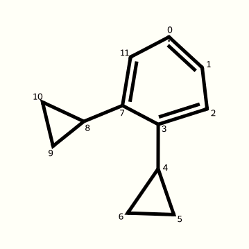 [c]1ccc(C2CC2)c(C2CC2)c1